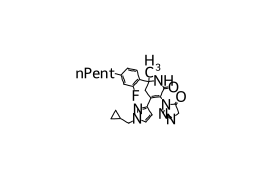 CCCCCc1ccc(C2(C)CC(c3ccn(CC4CC4)n3)=C(N3N=NCC3=O)C(=O)N2)c(F)c1